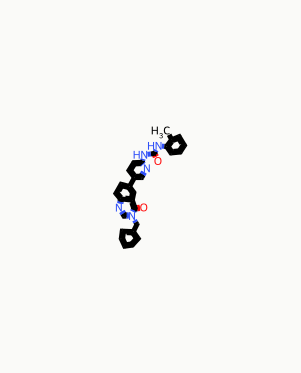 Cc1ccccc1NC(=O)Nc1ccc(-c2ccc3ncn(Cc4ccccc4)c(=O)c3c2)cn1